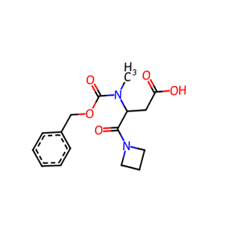 CN(C(=O)OCc1ccccc1)C(CC(=O)O)C(=O)N1CCC1